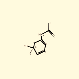 CC(=O)NC1=CC=C[C@@](C)(I)C1